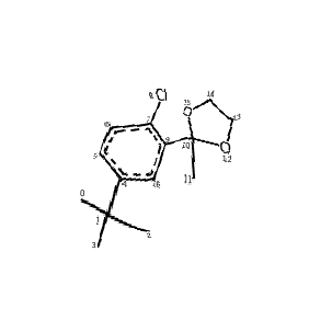 CC(C)(C)c1ccc(Cl)c(C2(C)OCCO2)c1